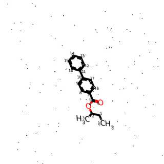 CCC(C)OC(=O)c1ccc(-c2ccccc2)cc1